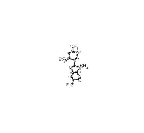 CCSc1cc(C(F)(F)F)ncc1-c1nc2cc(C(F)(F)F)cnc2n1C